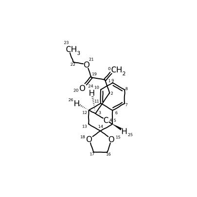 C=C(C[C@H]1C[C@@H]2c3ccccc3[C@@H]1CC21OCCO1)C(=O)OCC